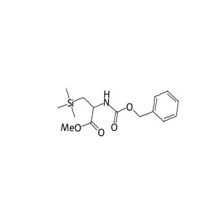 COC(=O)C(C[Si](C)(C)C)NC(=O)OCc1ccccc1